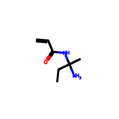 C=CC(=O)NC(C)(N)CC